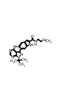 COCCNC(=O)c1cc2ccc(-c3nn(C(C)(C)C)c4ncnc(N)c34)cc2[nH]1